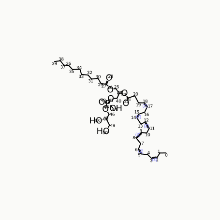 CC/C=C\C/C=C\C/C=C\C/C=C\C/C=C\C/C=C\CCC(=O)O[C@H](COC(=O)CCCCCCCCCCC)COP(=O)(O)OC[C@@H](O)CO